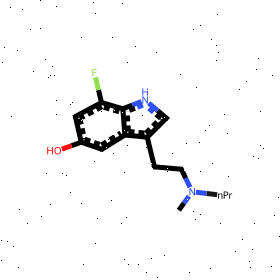 CCCN(C)CCc1c[nH]c2c(F)cc(O)cc12